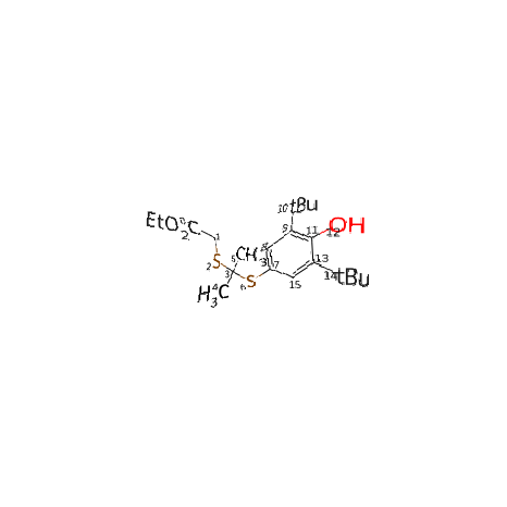 CCOC(=O)CSC(C)(C)Sc1cc(C(C)(C)C)c(O)c(C(C)(C)C)c1